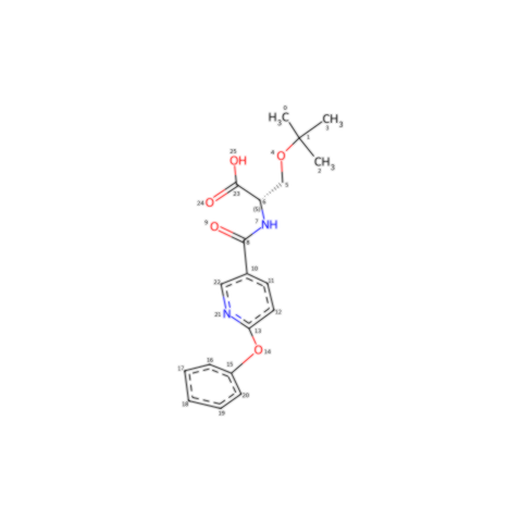 CC(C)(C)OC[C@H](NC(=O)c1ccc(Oc2ccccc2)nc1)C(=O)O